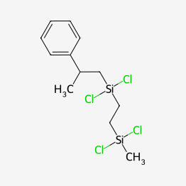 CC(C[Si](Cl)(Cl)CC[Si](C)(Cl)Cl)c1ccccc1